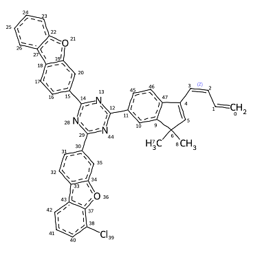 C=C/C=C\C1=CC(C)(C)c2cc(-c3nc(-c4ccc5c(c4)oc4ccccc45)nc(-c4ccc5c(c4)oc4c(Cl)cccc45)n3)ccc21